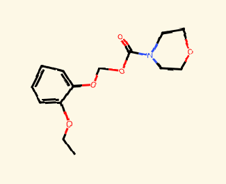 CCOc1ccccc1OCOC(=O)N1CCOCC1